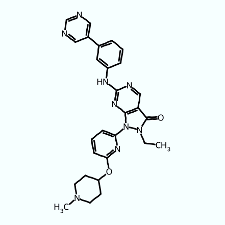 CCn1c(=O)c2cnc(Nc3cccc(-c4cncnc4)c3)nc2n1-c1cccc(OC2CCN(C)CC2)n1